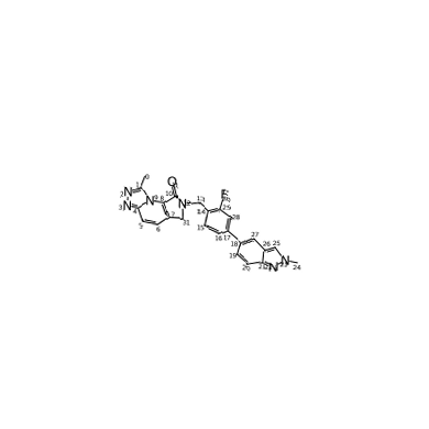 Cc1nnc2ccc3c(n12)C(=O)N(Cc1ccc(-c2ccc4nn(C)cc4c2)cc1F)C3